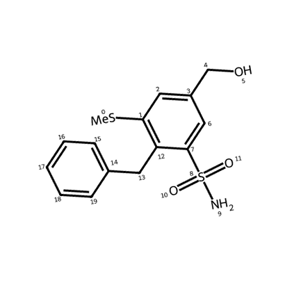 CSc1cc(CO)cc(S(N)(=O)=O)c1Cc1ccccc1